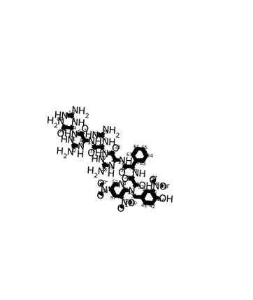 N=C(N)NC(NC(=O)C(NC(=N)N)NC(=O)C(NC(=N)N)NC(=O)C(NC(=N)N)NC(=O)C(NC(=O)C(O)N(Cc1ccc(O)c([N+](=O)[O-])c1)c1ncc([N+](=O)[O-])cc1[N+](=O)[O-])c1ccccc1)C(N)=O